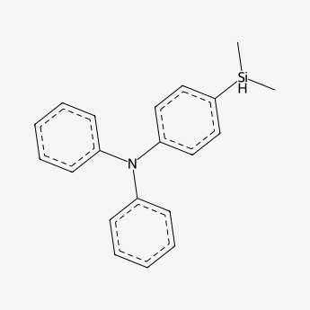 C[SiH](C)c1ccc(N(c2ccccc2)c2ccccc2)cc1